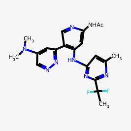 CC(=O)Nc1cc(Nc2cc(C)nc(C(C)(F)F)n2)c(-c2cc(N(C)C)cnn2)cn1